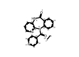 CI.O=C1Nc2cccnc2N(C(=O)c2ccncc2)c2ccccc21